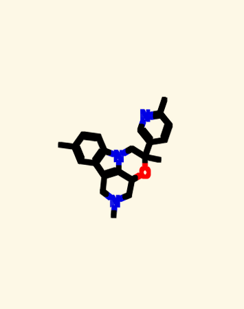 Cc1ccc2c(c1)c1c3n2CC(C)(c2ccc(C)nc2)OC3CN(C)C1